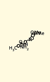 COc1cc2c(cc1OC)CN(CCc1ccc(NC(=O)c3ccc(C)cc3N)cc1)CC2